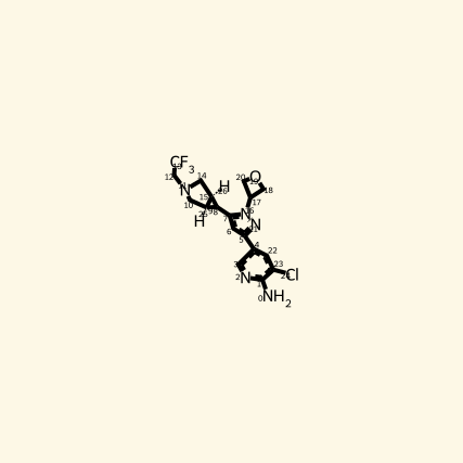 Nc1ncc(-c2cc(C3[C@H]4CN(CC(F)(F)F)C[C@@H]34)n(C3COC3)n2)cc1Cl